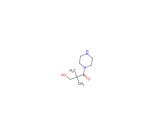 CC(C)(CO)C(=O)N1CCNCC1